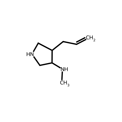 C=CCC1CNCC1NC